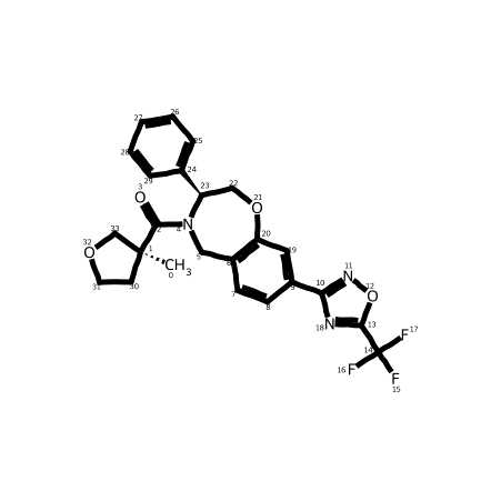 C[C@]1(C(=O)N2Cc3ccc(-c4noc(C(F)(F)F)n4)cc3OC[C@@H]2c2ccccc2)CCOC1